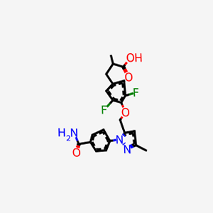 Cc1cc(COc2c(F)cc(CC(C)C(=O)O)cc2F)n(-c2ccc(C(N)=O)cc2)n1